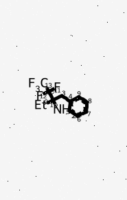 CCC(N)(Cc1ccccc1)C(F)(F)C(F)(F)F